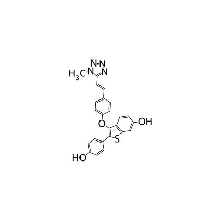 Cn1nnnc1/C=C/c1ccc(Oc2c(-c3ccc(O)cc3)sc3cc(O)ccc23)cc1